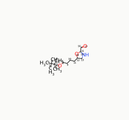 CC(C)(C)[Si](C)(C)OCCCCC1CNC(C=O)O1